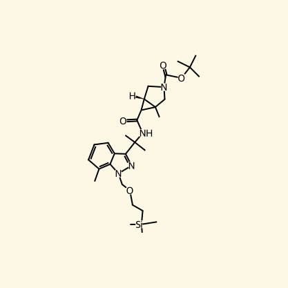 Cc1cccc2c(C(C)(C)NC(=O)C3[C@@H]4CN(C(=O)OC(C)(C)C)CC34C)nn(COCC[Si](C)(C)C)c12